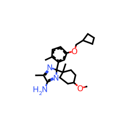 COC1CCC(C)(C2(c3cc(OCC4CCC4)ccc3C)N=C(C)C(N)=N2)CC1